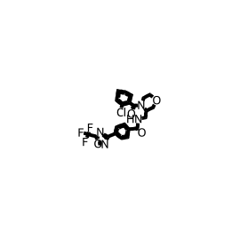 O=C(NCC1COCCN1C(=O)c1ccccc1Cl)c1ccc(-c2noc(C(F)(F)F)n2)cc1